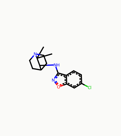 CC1(C)C(Nc2noc3cc(Cl)ccc23)C2CCN1CC2